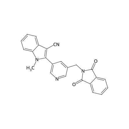 Cn1c(-c2cncc(CN3C(=O)c4ccccc4C3=O)c2)c(C#N)c2ccccc21